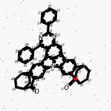 O=C1c2cc3c(cc2C2CCC1CC2)c1cc2nc(-c4ccccc4)nc(-c4ccccc4)c2c2c4cc5c(cc4n3c12)C(=O)C1CCC5CC1